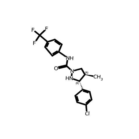 C[C@@H]1CN(C(=O)Nc2ccc(C(F)(F)F)cc2)N[C@H]1c1ccc(Cl)cc1